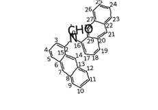 O=[C]N(c1cccc2cc3ccccc3cc12)c1cccc2cc3ccccc3cc12